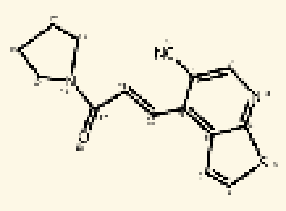 N#Cc1cnc2sccc2c1/C=C/C(=O)N1CCCC1